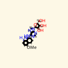 COc1cccc2c1CCCC2(N)Nc1ncnc2c1ncn2[C@@H]1O[C@H](CO)C(O)C1O